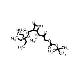 CC[Si](CC)(CC)O[C@H](C)C1C(=O)NC1[C@@H](C)C(=O)COC(=O)OC(C)(C)C